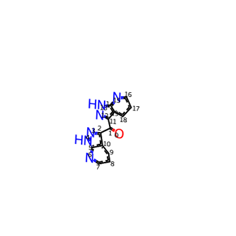 O=C(c1n[nH]c2ncccc12)c1n[nH]c2ncccc12